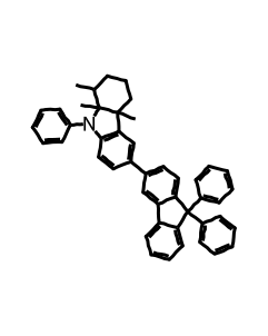 CC1CCCC2(C)c3cc(-c4ccc5c(c4)-c4ccccc4C5(c4ccccc4)c4ccccc4)ccc3N(c3ccccc3)C12C